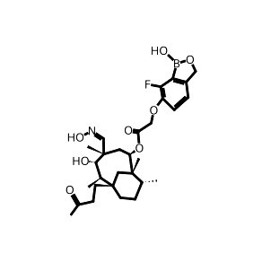 CC(=O)CC[C@]12CC[C@@H](C)[C@](C)(C1)[C@H](OC(=O)COc1ccc3c(c1F)B(O)OC3)C[C@@](C)(/C=N\O)[C@@H](O)[C@@H]2C